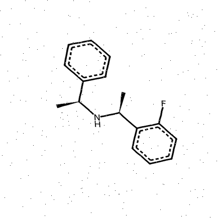 C[C@H](N[C@@H](C)c1ccccc1F)c1ccccc1